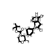 C[C@H]1OCCN(C(=O)OC(C)(C)C)[C@@H]1c1ccc(-n2c(Cl)cc3c(=O)[nH]cnc32)cc1